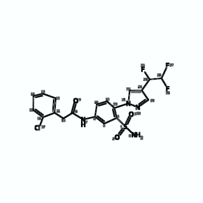 NS(=O)(=O)c1cc(NC(=O)Cc2ccccc2Cl)ccc1-n1cc(C(F)C(F)F)cn1